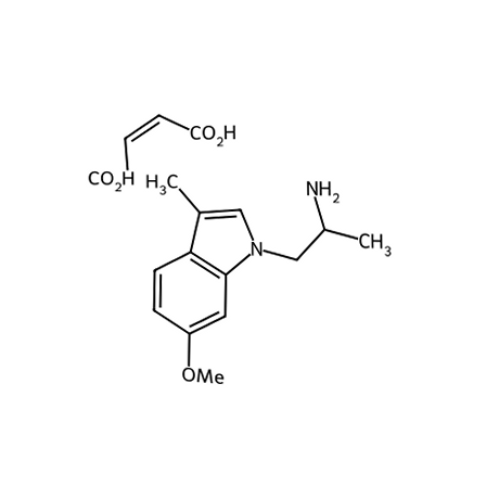 COc1ccc2c(C)cn(CC(C)N)c2c1.O=C(O)/C=C\C(=O)O